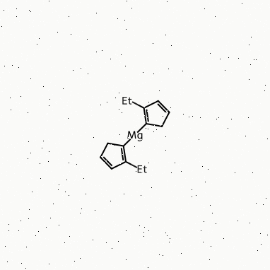 CCC1=[C]([Mg][C]2=C(CC)C=CC2)CC=C1